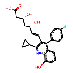 O=C(O)C[C@H](O)C[C@H](O)/C=C/c1c(C2CC2)nc2c(O)cccc2c1-c1ccc(F)cc1